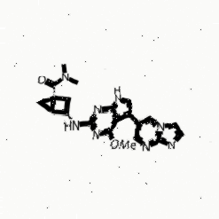 COc1nc(N[C@H]2C[C@]3(C(=O)N(C)C)CC23)nc2[nH]cc(-c3cnc4nccn4c3)c12